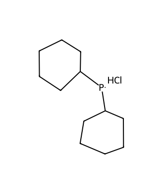 C1CCC([P]C2CCCCC2)CC1.Cl